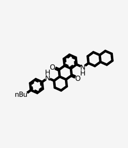 CCCCc1ccc(NC2CCCC3C(=O)c4c(NC5CCC6CCCCC6C5)cccc4C(=O)C23)cc1